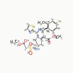 COC(=O)CS(=O)(=O)N[C@H]1CC2=C(C(=O)OC)[C@H](c3ccc(F)cc3C)N=C(c3nccs3)N2C1